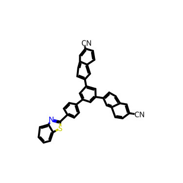 N#Cc1ccc2cc(-c3cc(-c4ccc(-c5nc6ccccc6s5)cc4)cc(-c4ccc5cc(C#N)ccc5c4)c3)ccc2c1